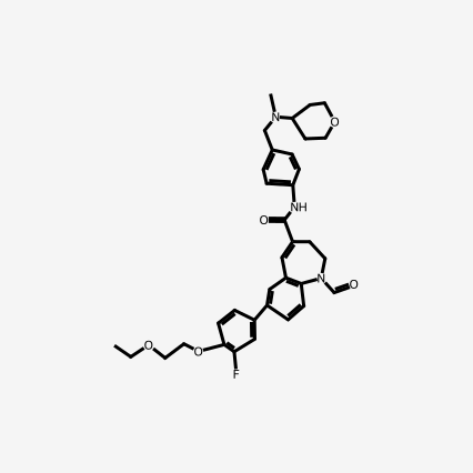 CCOCCOc1ccc(-c2ccc3c(c2)C=C(C(=O)Nc2ccc(CN(C)C4CCOCC4)cc2)CCN3C=O)cc1F